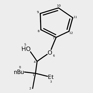 CCCCC(C)(CC)C(O)Oc1ccccc1